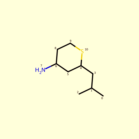 CC(C)CC1CC(N)CCS1